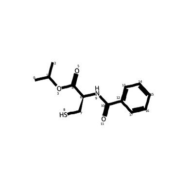 CC(C)OC(=O)[C@H](CS)NC(=O)c1ccccc1